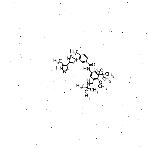 COc1c(CNC(C)(C)C)cc(NC(=O)c2ccc(C)c(-n3cc(-c4cn[nH]c4C)nn3)c2)cc1C(C)(C)C